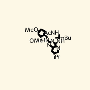 CCCC[C@](C)(CNC(C)=O)Nc1nc(NCc2ccc(OC)cc2OC)nc2cc(C(C)C)cnc12